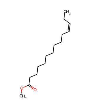 CC/C=C\CCCCCCCCCC(=O)OC